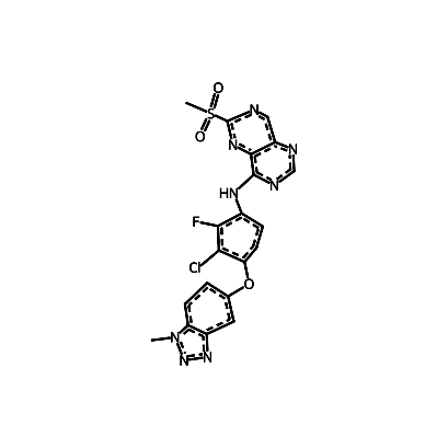 Cn1nnc2cc(Oc3ccc(Nc4ncnc5cnc(S(C)(=O)=O)nc45)c(F)c3Cl)ccc21